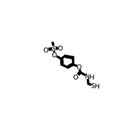 CS(=O)(=O)Oc1ccc(OC(=O)NCS)cc1